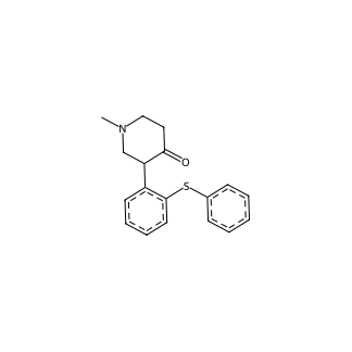 CN1CCC(=O)C(c2ccccc2Sc2ccccc2)C1